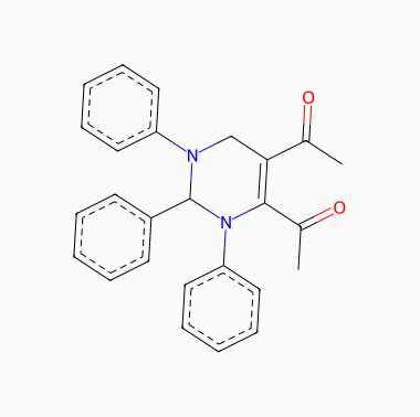 CC(=O)C1=C(C(C)=O)N(c2ccccc2)C(c2ccccc2)N(c2ccccc2)C1